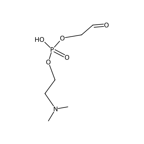 CN(C)CCOP(=O)(O)OCC=O